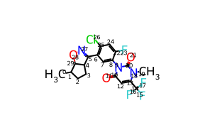 CC1CCC2C(c3cc(-n4c(=O)cc(C(F)(F)F)n(C)c4=O)c(F)cc3Cl)=NOC12